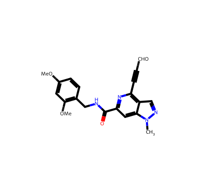 COc1ccc(CNC(=O)c2cc3c(cnn3C)c(C#CC=O)n2)c(OC)c1